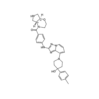 Cc1ccc(C2(O)CCN(c3cccn4nc(Nc5ccc(C(=O)N6CCO[C@@H]7CNC[C@H]76)cc5)nc34)CC2)cc1